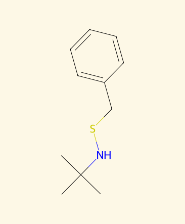 CC(C)(C)NSCc1ccccc1